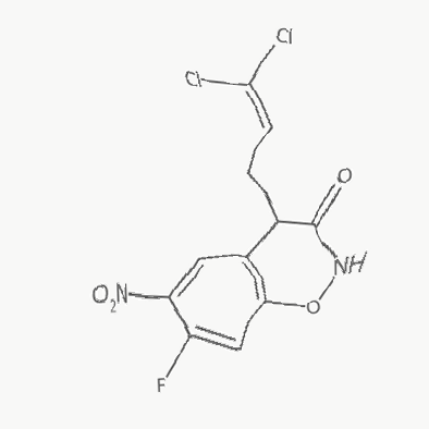 O=C1NOc2cc(F)c([N+](=O)[O-])cc2C1CC=C(Cl)Cl